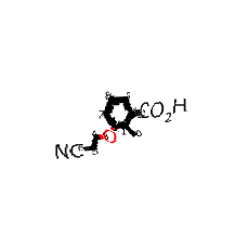 Cc1c(OCCC#N)cccc1C(=O)O